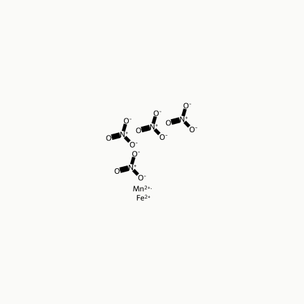 O=[N+]([O-])[O-].O=[N+]([O-])[O-].O=[N+]([O-])[O-].O=[N+]([O-])[O-].[Fe+2].[Mn+2]